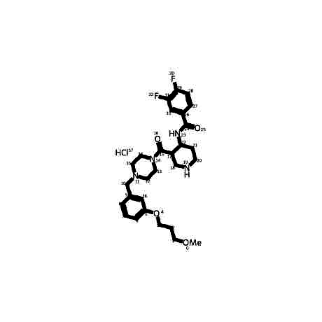 COCCCOc1cccc(CN2CCN(C(=O)C3CNCCC3NC(=O)c3ccc(F)c(F)c3)CC2)c1.Cl